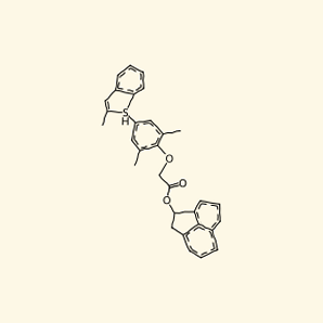 CC1=Cc2ccccc2[SH]1c1cc(C)c(OCC(=O)OC2Cc3cccc4cccc2c34)c(C)c1